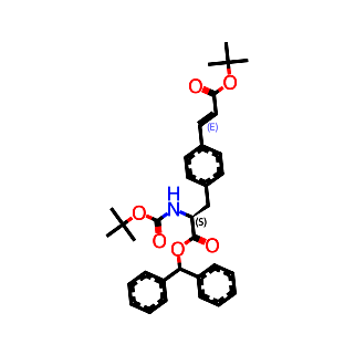 CC(C)(C)OC(=O)/C=C/c1ccc(C[C@H](NC(=O)OC(C)(C)C)C(=O)OC(c2ccccc2)c2ccccc2)cc1